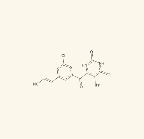 CC(C)c1c(C(=O)c2cc(Cl)cc(C=CC#N)c2)[nH]c(=O)[nH]c1=O